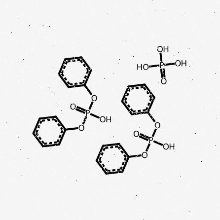 O=P(O)(O)O.O=P(O)(Oc1ccccc1)Oc1ccccc1.O=P(O)(Oc1ccccc1)Oc1ccccc1